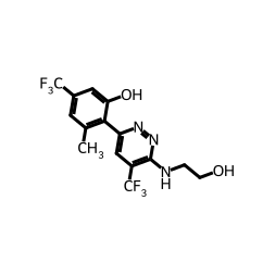 Cc1cc(C(F)(F)F)cc(O)c1-c1cc(C(F)(F)F)c(NCCO)nn1